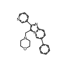 c1ccc(-c2ccc3nc(-c4cccnc4)c(CN4CCOCC4)n3c2)cc1